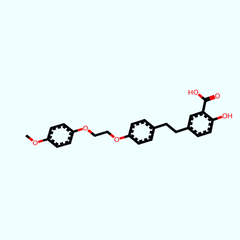 COc1ccc(OCCOc2ccc(CCc3ccc(O)c(C(=O)O)c3)cc2)cc1